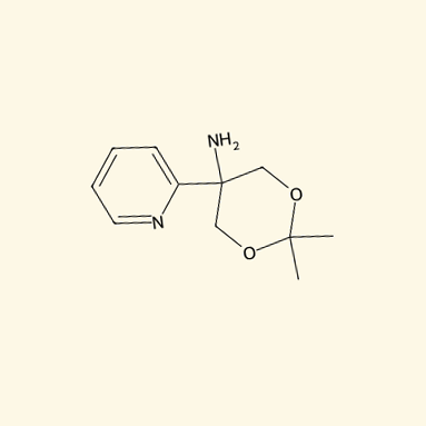 CC1(C)OCC(N)(c2ccccn2)CO1